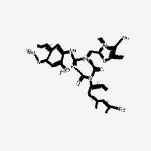 C/C=C1/C=C(Nc2nc(=O)n(C(/C=C(C)\C=C(/C)CC)=C/C)c(=O)n2Cc2nc(C)c(C(C)CC)n2C)C(O)=C/C1=N/C(C)CC